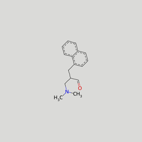 CN(C)CC(C=O)Cc1cccc2ccccc12